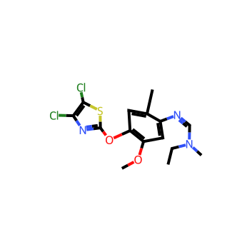 CCN(C)/C=N\c1cc(OC)c(Oc2nc(Cl)c(Cl)s2)cc1C